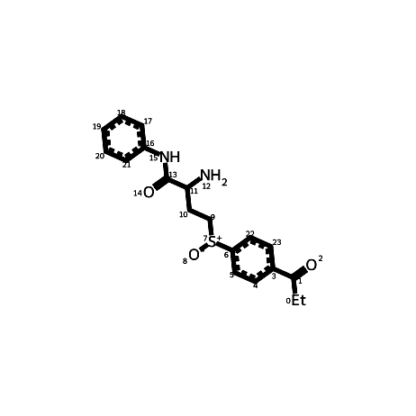 CCC(=O)c1ccc([S+]([O-])CCC(N)C(=O)Nc2ccccc2)cc1